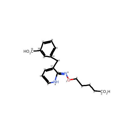 O=C(O)CCCCON=c1[nH]cccc1Cc1cccc(C(=O)O)c1